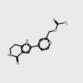 O=C1NCCc2[nH]c(-c3ccnc(COC(=O)C(F)(F)F)c3)cc21